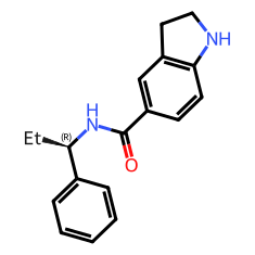 CC[C@@H](NC(=O)c1ccc2c(c1)CCN2)c1ccccc1